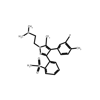 Cc1ccc(-c2c(-c3ccccc3S(N)(=O)=O)nn(CCN(C)C)c2C(F)(F)F)cc1F